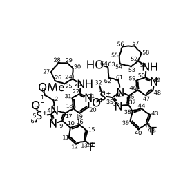 COCCn1c([S+](C)[O-])nc(-c2ccc(F)cc2)c1-c1ccnc(NC2CCCCCC2)c1.C[S+]([O-])c1nc(-c2ccc(F)cc2)c(-c2ccnc(NC3CCCCCC3)c2)n1CCCO